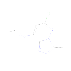 CCNc1cc(Cl)nn2c(C)nnc12